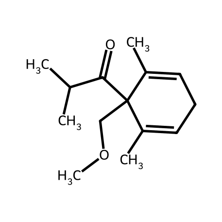 COCC1(C(=O)C(C)C)C(C)=CCC=C1C